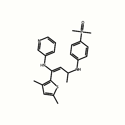 Cc1cc(C)c(/C(=C\C(C)Nc2ccc(P(C)(C)=O)cc2)Nc2cccnc2)s1